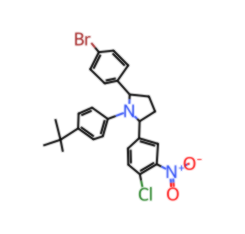 CC(C)(C)c1ccc(N2C(c3ccc(Br)cc3)CCC2c2ccc(Cl)c([N+](=O)[O-])c2)cc1